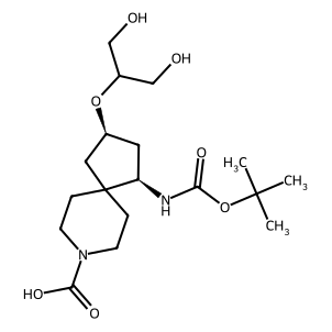 CC(C)(C)OC(=O)N[C@@H]1C[C@H](OC(CO)CO)CC12CCN(C(=O)O)CC2